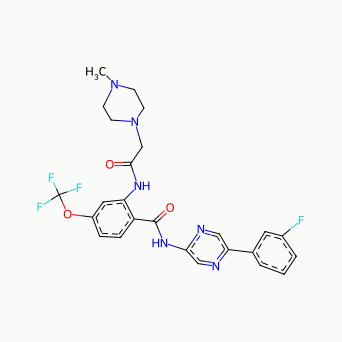 CN1CCN(CC(=O)Nc2cc(OC(F)(F)F)ccc2C(=O)Nc2cnc(-c3cccc(F)c3)cn2)CC1